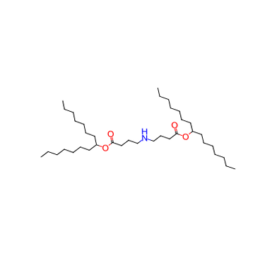 CCCCCCCC(CCCCCCC)OC(=O)CCCNCCCC(=O)OC(CCCCCCC)CCCCCCC